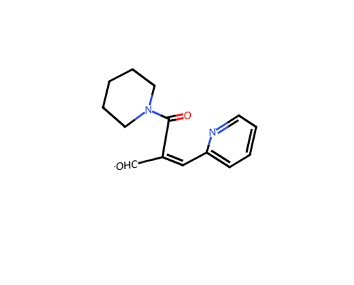 O=[C]C(=Cc1ccccn1)C(=O)N1CCCCC1